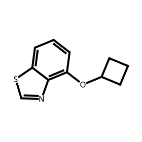 c1cc(OC2CCC2)c2ncsc2c1